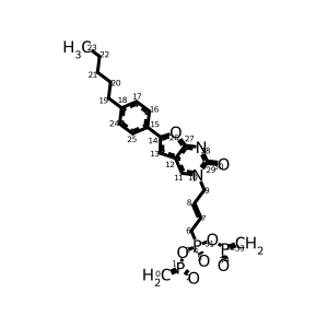 C=P(=O)OP(=O)(C/C=C/Cn1cc2cc(-c3ccc(CCCCC)cc3)oc2nc1=O)OP(=C)=O